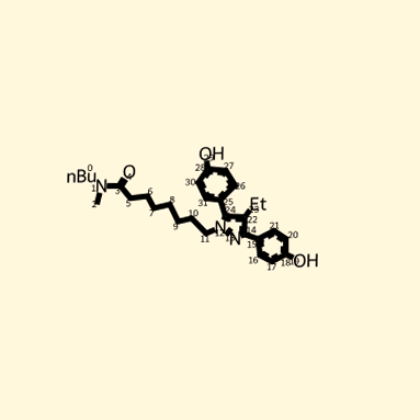 CCCCN(C)C(=O)CCCCCCCn1nc(-c2ccc(O)cc2)c(CC)c1-c1ccc(O)cc1